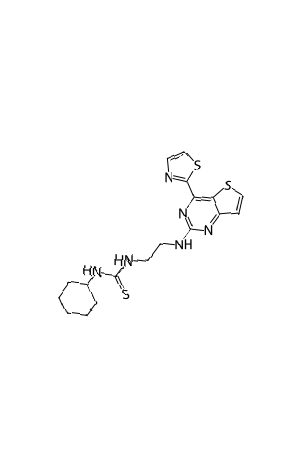 S=C(NCCNc1nc(-c2nccs2)c2sccc2n1)NC1CCCCC1